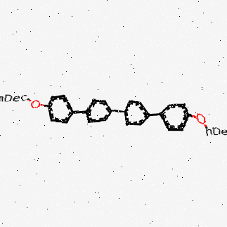 CCCCCCCCCCOc1ccc(-c2ccc(-c3ccc(-c4ccc(OCCCCCCCCCC)cc4)cc3)cc2)cc1